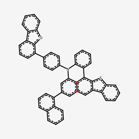 c1cc(-c2cccc3ccccc23)cc(N(c2ccc(-c3cccc4c3oc3ccccc34)cc2)c2ccccc2-c2cccc3c2sc2ccccc23)c1